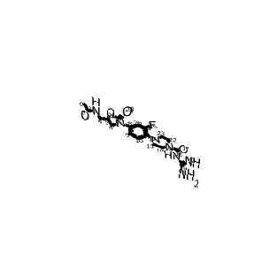 CC(=O)NCC1CN(c2ccc(N3CCN(C(=O)NC(=N)N)CC3)c(F)c2)C(=O)O1